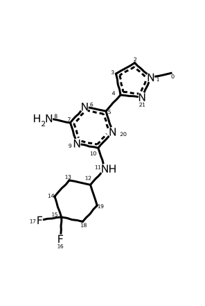 Cn1ccc(-c2nc(N)nc(NC3CCC(F)(F)CC3)n2)n1